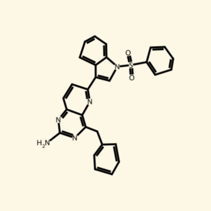 Nc1nc(Cc2ccccc2)c2nc(-c3cn(S(=O)(=O)c4ccccc4)c4ccccc34)ccc2n1